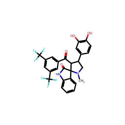 CN1CC(c2ccc(O)c(O)c2)C(C(=O)c2cc(C(F)(F)F)cc(C(F)(F)F)c2)C12C(=O)Nc1ccccc12